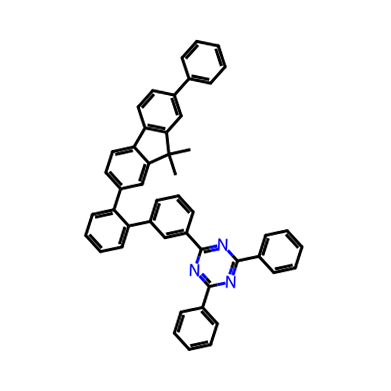 CC1(C)c2cc(-c3ccccc3)ccc2-c2ccc(-c3ccccc3-c3cccc(-c4nc(-c5ccccc5)nc(-c5ccccc5)n4)c3)cc21